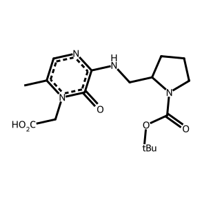 Cc1cnc(NCC2CCCN2C(=O)OC(C)(C)C)c(=O)n1CC(=O)O